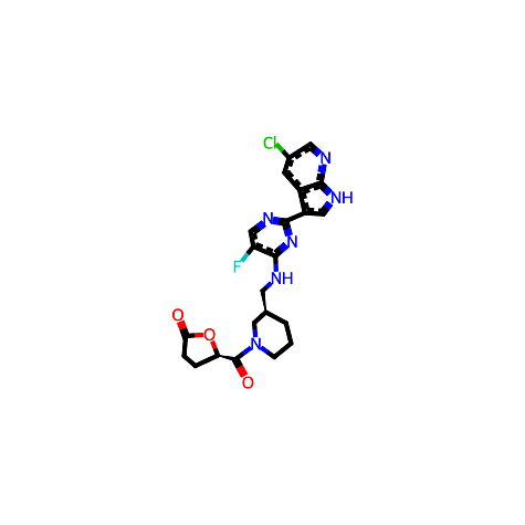 O=C1CC[C@H](C(=O)N2CCC[C@H](CNc3nc(-c4c[nH]c5ncc(Cl)cc45)ncc3F)C2)O1